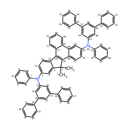 CC1(C)c2cc(N(c3ccccc3)c3cc(-c4ccccc4)cc(-c4ccccc4)c3)ccc2-c2c1c1ccc(N(c3ccccc3)c3cc(-c4ccccc4)cc(-c4ccccc4)c3)cc1c1ccccc21